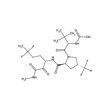 CNC(=O)C(=O)C(CCC(C)(F)F)NC(=O)[C@@H]1C[C@@H](C(F)(F)F)CN1C(=O)C(NC(=O)O)C(C)(C)C